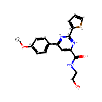 O=C(NCCO)c1cc(-c2ccc(OC(F)(F)F)cc2)nc(-c2cccs2)n1